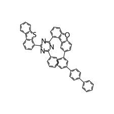 c1ccc(-c2ccc(-c3cccc(-c4ccc5oc6cccc(-c7nc(-c8ccccc8)nc(-c8cccc9c8sc8ccccc89)n7)c6c5c4)c3)cc2)cc1